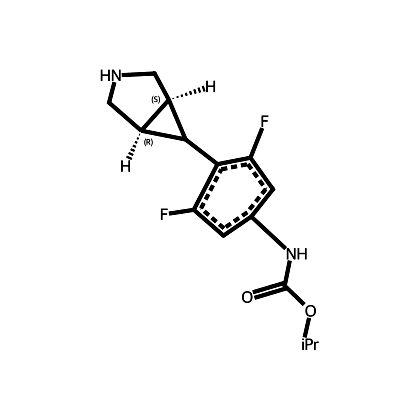 CC(C)OC(=O)Nc1cc(F)c(C2[C@H]3CNC[C@@H]23)c(F)c1